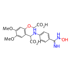 COc1cc(OCC(=O)O)c(C(Nc2ccc(C(=N)NO)cc2)C(=O)O)cc1OC